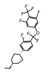 CC[C@H]1CC[C@H](c2ccc(C(F)(F)Oc3cc(F)c(C(F)(F)F)c(F)c3)c(F)c2)CC1